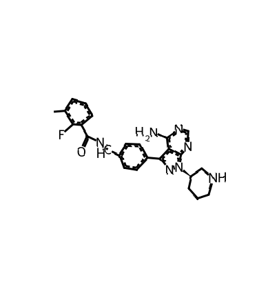 Cc1cccc(C(=O)NCc2ccc(-c3nn([C@@H]4CCCNC4)c4ncnc(N)c34)cc2)c1F